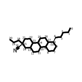 CCCCC[C@H]1CCCC2C3CCC4C[C@](C#N)(CCC)CCC4C3CCC21